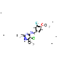 COc1ccc(C[N]c2nc(C)nc(C)c2Cl)cc1F